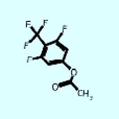 CC(=O)Oc1cc(F)c(C(F)(F)F)c(F)c1